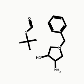 CC(C)(C)OC=O.NC1CN(Cc2ccccc2)CC1O